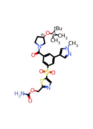 Cn1cc(-c2cc(C(=O)N3CC[C@@H](O[Si](C)(C)C(C)(C)C)C3)cc(S(=O)(=O)c3cnc(COC(N)=O)s3)c2)cn1